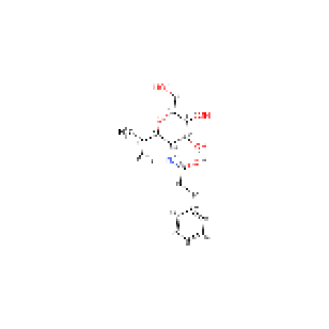 CC(C)C1OC(CO)C(O)C(O)C1NC(=O)CCc1ccccc1